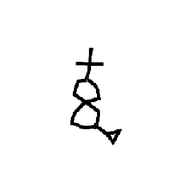 CC(C)(C)N1CCC2(CCCN(C3CC3)C2)CC1